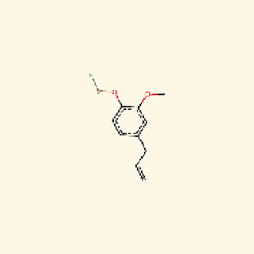 C=CCc1ccc(OSF)c(OC)c1